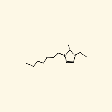 CCCCCCCN1C=CN(CC)C1C